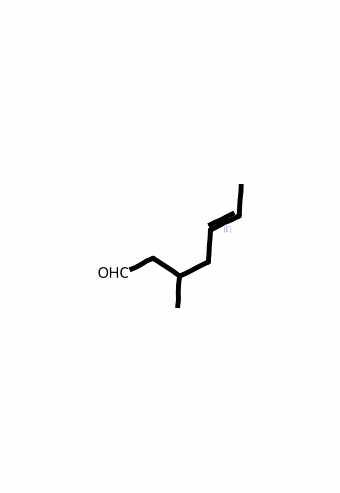 C/C=C/CC(C)CC=O